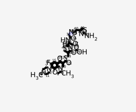 CC1COc2c(N3CCN(C)CC3)c(F)cc3c(=O)c(C(=O)SCC4=C(OC(=O)O)N5C(=O)[C@@H](NC(=O)/C=N\OCc6csc(N)n6)[C@H]5SC4)cn1c23